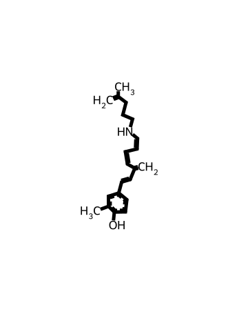 C=C(/C=C\C=C/NCCCC(=C)C)/C=C/c1ccc(O)c(C)c1